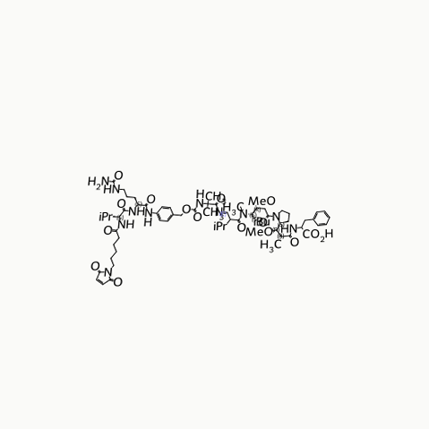 CC[C@H](C)[C@@H]([C@@H](CC(=O)N1CCC[C@H]1[C@H](OC)[C@@H](C)C(=O)NC(Cc1ccccc1)C(=O)O)OC)N(C)C(=O)C(/C=N/C(=O)C(C)(C)NC(=O)OCc1ccc(NC(=O)[C@H](CCCNC(N)=O)NC(=O)[C@@H](NC(=O)CCCCCN2C(=O)C=CC2=O)C(C)C)cc1)C(C)C